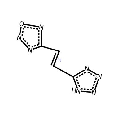 C(=C\c1nnn[nH]1)/c1nnon1